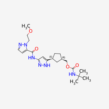 COCCn1nccc1C(=O)Nc1cc([C@H]2CC[C@@H](COC(=O)NC(C)(C)C)C2)[nH]n1